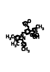 Cc1cc2c(c(C)n1)c(-c1ccc(C)s1)nn2Cc1ccc(-c2cc(C)sc2S(=O)(=O)O)c(CN2CCCC2=O)c1